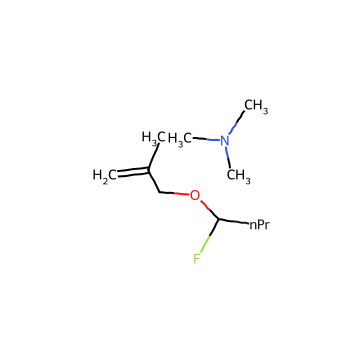 C=C(C)COC(F)CCC.CN(C)C